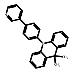 CC1(C)c2ccccc2N(c2ccc(-c3cccnc3)cc2)c2ccccc21